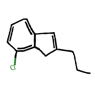 CCCC1=Cc2cccc(Cl)c2C1